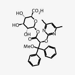 COC(c1ccccc1)(c1ccccc1)[C@H](Oc1nc(C)cc(C)n1)C(=O)O[C@@H]1O[C@H](C(=O)O)[C@@H](O)[C@H](O)[C@H]1O